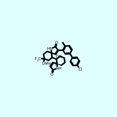 COC1(C(F)(F)F)CCC2(NC(=O)C(c3cc(-c4ccc(Cl)cc4)ccc3C)=C2O)C(C2CCCC[C@@]23C=CC(=O)N3)C1